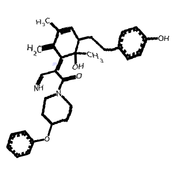 C=C1C(C)=CC(CCc2ccc(O)cc2)C(C)(O)/C1=C(/C=N)C(=O)N1CCC(Oc2ccccc2)CC1